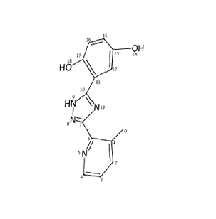 Cc1cccnc1-c1n[nH]c(-c2cc(O)ccc2O)n1